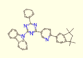 CC1(C)CC(C)(C)c2cc(-c3ccc(-c4nc(-c5ccccc5)nc(-n5c6ccccc6c6ccccc65)n4)cn3)ccc21